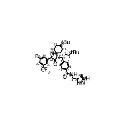 CC(C)(C)CC[C@H](c1ccc(C(=O)NCc2nn[nH]n2)cc1)N1C(=O)C(c2cc(F)cc(C(F)(F)F)c2)=NC12CCC(C(C)(C)C)CC2